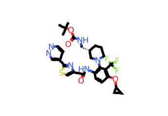 CC(C)(C)OC(=O)NC[C@@H]1CCCN(c2c(NC(=O)c3csc(-c4ccnnc4)n3)ccc(OC3CC3)c2C(F)(F)F)C1